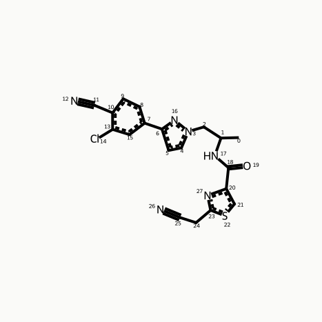 CC(Cn1ccc(-c2ccc(C#N)c(Cl)c2)n1)NC(=O)c1csc(CC#N)n1